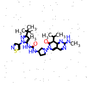 CNC1N=CC2=CN(N3CCC(NC(=O)Nc4cc(C(C)(C)C)nn4-c4cnsc4)C3)C(=O)C(C(C)C)C2=N1